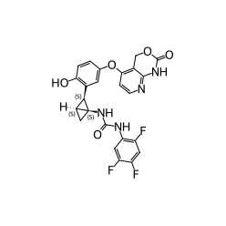 O=C(Nc1cc(F)c(F)cc1F)N[C@@]12C[C@H]1[C@H]2c1cc(Oc2ccnc3c2COC(=O)N3)ccc1O